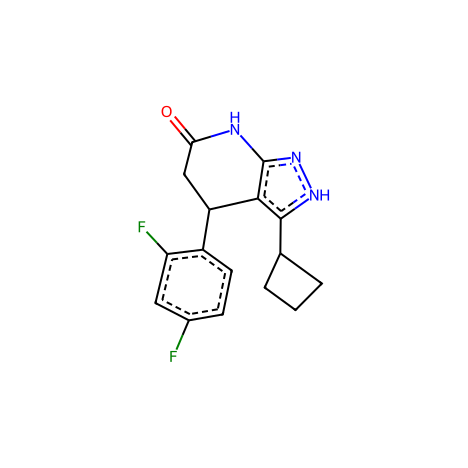 O=C1CC(c2ccc(F)cc2F)c2c(n[nH]c2C2CCC2)N1